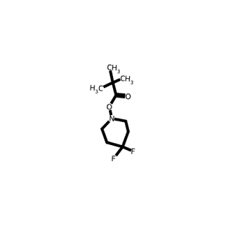 CC(C)(C)C(=O)ON1CCC(F)(F)CC1